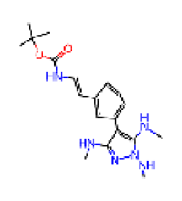 CNc1nn(NC)c(NC)c1-c1cccc(C=CNC(=O)OC(C)(C)C)c1